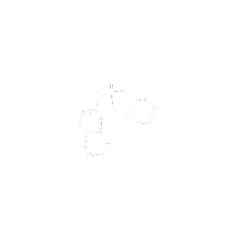 O=P(O)(Oc1ccccc1)Oc1ccc2ccccc2c1